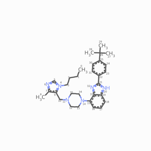 CCCCn1cnc(C)c1CN1CCN(c2cccc3[nH]c(-c4ccc(C(C)(C)C)cc4)nc23)CC1